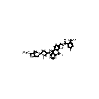 COc1ccc(F)cc1C(=O)NCc1ccc(-c2nn(C3CCC(N4CCC(C(OC)OC)CC4)NC3)c3ncnc(N)c23)cc1